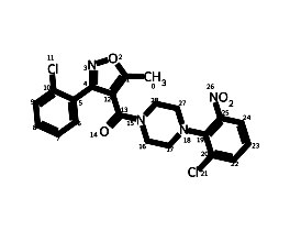 Cc1onc(-c2ccccc2Cl)c1C(=O)N1CCN(c2c(Cl)cccc2[N+](=O)[O-])CC1